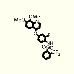 COc1ccc2c(Oc3ccc(NS(=O)(=O)c4ccccc4C(F)(F)F)c(F)c3)ccnc2c1OC